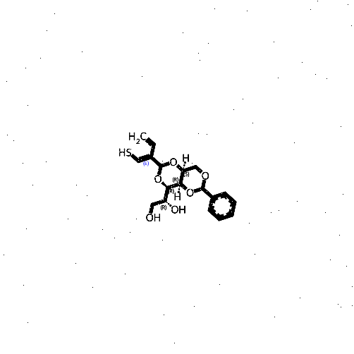 C=C/C(=C\S)C1O[C@H]([C@H](O)CO)[C@@H]2OC(c3ccccc3)OC[C@@H]2O1